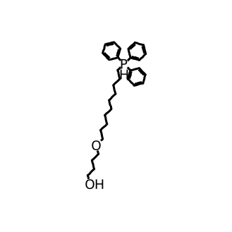 OCCCCOCCCCCCCCCC[PH](c1ccccc1)(c1ccccc1)c1ccccc1